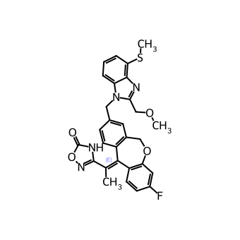 COCc1nc2c(SC)cccc2n1Cc1ccc2c(c1)COc1cc(F)ccc1/C2=C(\C)c1noc(=O)[nH]1